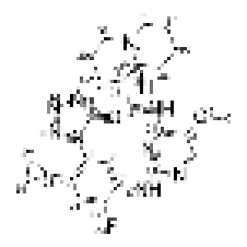 COc1cnc(Nc2cc(-n3nnn(C)c3=O)c(C3CC3)cc2F)nc1NC[C@@H]1CCCN2CCCC[C@H]12